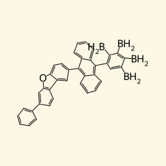 Bc1cc(-c2c3ccccc3c(-c3ccc4oc5cc(-c6ccccc6)ccc5c4c3)c3ccccc23)c(B)c(B)c1B